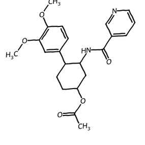 COc1ccc(C2CCC(OC(C)=O)CC2NC(=O)c2cccnc2)cc1OC